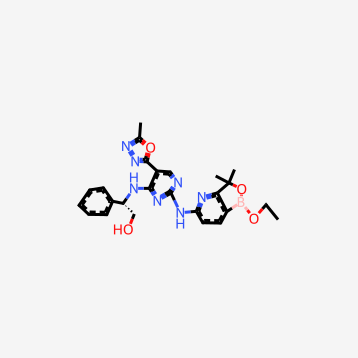 CCOB1OC(C)(C)c2nc(Nc3ncc(-c4nnc(C)o4)c(N[C@H](CO)c4ccccc4)n3)ccc21